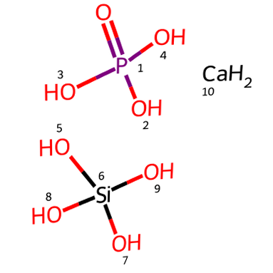 O=P(O)(O)O.O[Si](O)(O)O.[CaH2]